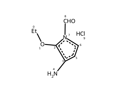 CCOc1c(N)ccn1C=O.Cl